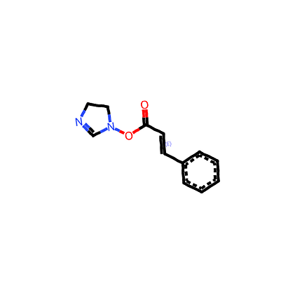 O=C(/C=C/c1ccccc1)ON1C=NCC1